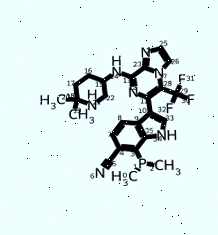 CP(C)c1c(C#N)ccc2c(-c3nc(NC4CCC(C)(C)NC4)c4nccn4c3C(F)(F)F)c[nH]c12